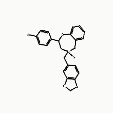 [O-][N+]1(Cc2ccc3c(c2)OCO3)Cc2ccccc2OC(c2ccc(Cl)cc2)C1